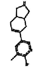 Cc1cc(C2=CCC3CNCC3C2)cnc1Br